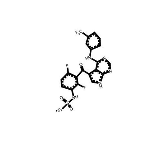 CCCS(=O)(=O)Nc1ccc(F)c(C(=O)c2c[nH]c3ncnc(Nc4cccc(C(F)(F)F)c4)c23)c1F